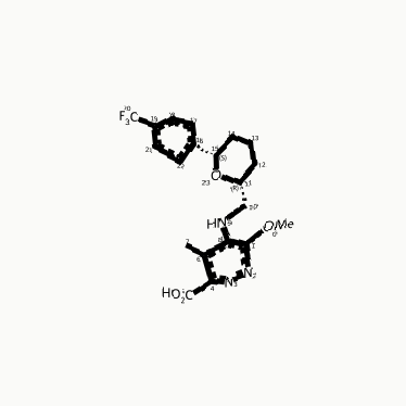 COc1nnc(C(=O)O)c(C)c1NC[C@H]1CCC[C@@H](c2ccc(C(F)(F)F)cc2)O1